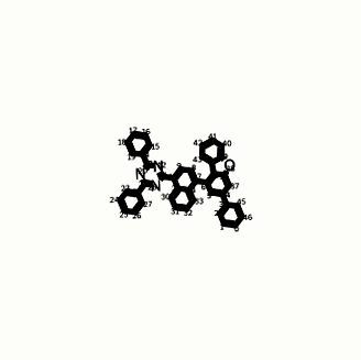 c1ccc(-c2cc(-c3ccc(-c4nc(-c5ccccc5)nc(-c5ccccc5)n4)c4ccccc34)c3c(c2)oc2ccccc23)cc1